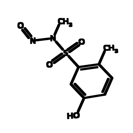 Cc1ccc(O)cc1S(=O)(=O)N(C)N=O